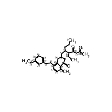 CCCC(CC1CC(=O)c2c(C)ccc(CCc3cccc(CC)c3)c2C1)C(CC)C(=O)CC(C)=O